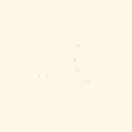 C/C=C(\CCC(=O)c1ccc(C(F)(F)F)cc1)N1CCN(C(CC)CC)CC1